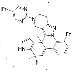 CCc1cccc2c1-n1nc3c(c1C1(C)C2=CC(C)(F)c2[nH]ccc21)CN(c1ncc(C(C)C)cn1)CC3